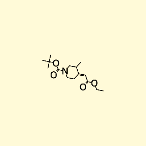 CCOC(=O)C=C1CCN(C(=O)OC(C)(C)C)CC1C